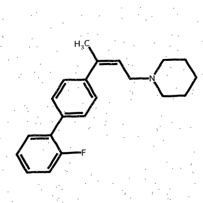 CC(=CCN1CCCCC1)c1ccc(-c2ccccc2F)cc1